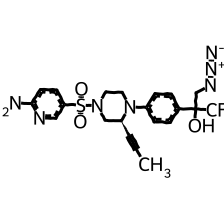 CC#C[C@H]1CN(S(=O)(=O)c2ccc(N)nc2)CCN1c1ccc(C(O)(CN=[N+]=[N-])C(F)(F)F)cc1